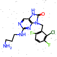 NCCCNc1ncc2[nH]c(=O)n(Cc3c(F)ccc(F)c3Cl)c2n1